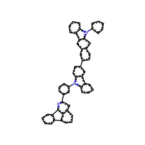 c1ccc(-n2c3ccccc3c3cc4cc(-c5ccc6c(c5)c5ccccc5n6-c5cccc(-c6cc7cccc8c7c(n6)-c6ccccc6-8)c5)ccc4cc32)cc1